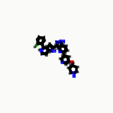 Fc1ccccc1-c1nccc2[nH]c(-c3n[nH]c4ccc(-c5cncc(OC6CCNCC6)c5)nc34)cc12